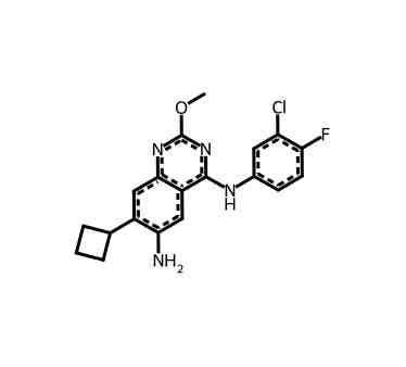 COc1nc(Nc2ccc(F)c(Cl)c2)c2cc(N)c(C3CCC3)cc2n1